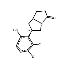 O=C1CCC2C[C@H](c3c(O)ccc(Cl)c3Cl)CN12